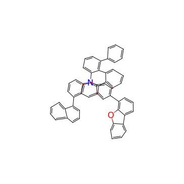 c1ccc(-c2ccccc2-c2c(-c3ccccc3)cccc2N(c2ccc(-c3cccc4c3oc3ccccc34)cc2)c2cccc(-c3cccc4ccccc34)c2)cc1